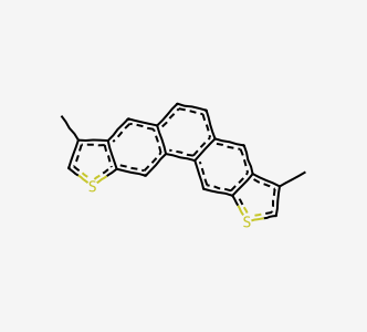 Cc1csc2cc3c(ccc4cc5c(C)csc5cc43)cc12